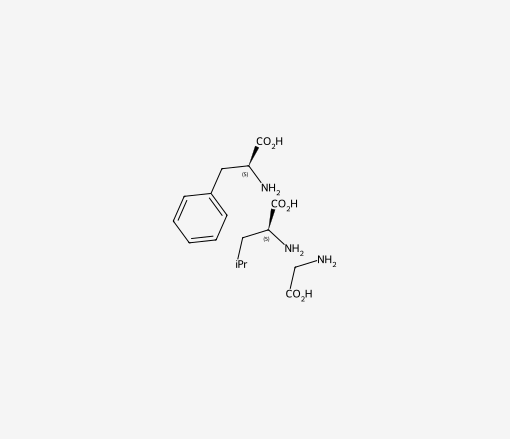 CC(C)C[C@H](N)C(=O)O.NCC(=O)O.N[C@@H](Cc1ccccc1)C(=O)O